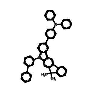 CC1(C)c2ccccc2-c2cc3c4cc(-c5ccc(N(c6ccccc6)c6ccccc6)cc5)ccc4n(-c4cccc(-c5ccccc5)c4)c3cc21